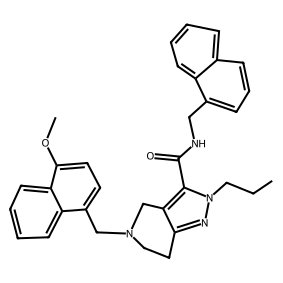 CCCn1nc2c(c1C(=O)NCc1cccc3ccccc13)CN(Cc1ccc(OC)c3ccccc13)CC2